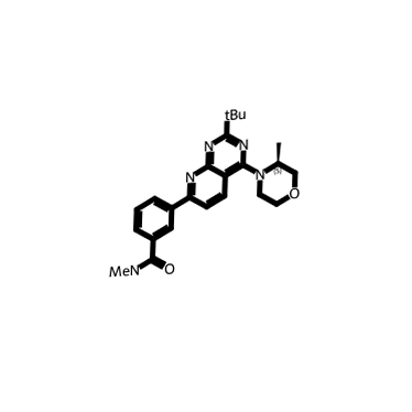 CNC(=O)c1cccc(-c2ccc3c(N4CCOC[C@@H]4C)nc(C(C)(C)C)nc3n2)c1